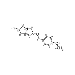 COc1ccc(CO[C@@H]2C=C3C[C@@H](F)CN3C2)cc1